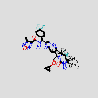 BC1(B)NC(=O)N([C@H](COC2CC2)c2cnn3cc([C@@H](NC(=O)c4nonc4C)C4CCC(F)(F)CC4)nc3c2)C(B)(B)C1(F)F